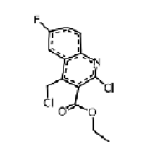 CCOC(=O)c1c(Cl)nc2ccc(F)cc2c1CCl